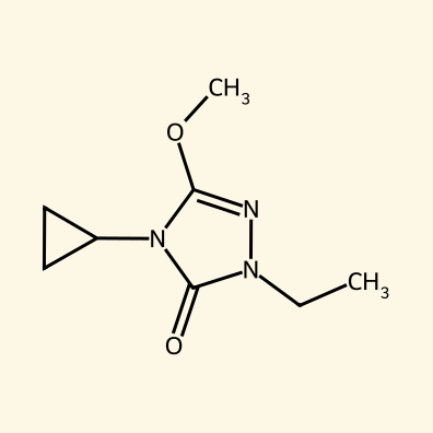 CCn1nc(OC)n(C2CC2)c1=O